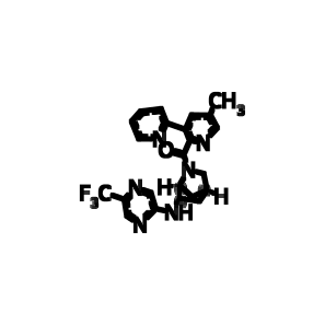 Cc1cnc(C(=O)N2C[C@@H]3C[C@@H](Nc4cnc(C(F)(F)F)cn4)[C@@H]2C3)c(-c2ccccn2)c1